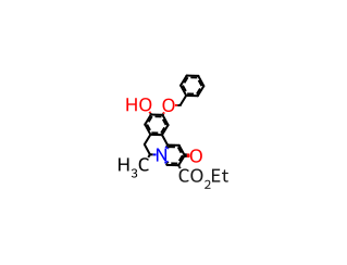 CCOC(=O)c1cn2c(cc1=O)-c1cc(OCc3ccccc3)c(O)cc1CC2C